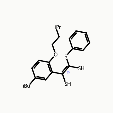 CCC(C)c1ccc(OCCC(C)C)c(/C(S)=C(/S)Sc2ccccc2)c1